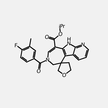 Cc1cc(C(=O)N2C=C(C(=O)OC(C)C)c3[nH]c4ncccc4c3C3(CCOC3)C2)ccc1F